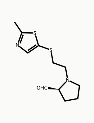 Cc1ncc(SCCN2CCC[C@H]2C=O)s1